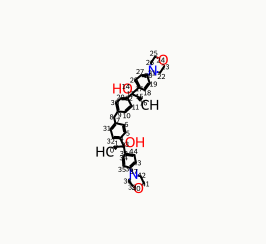 C#CC(O)(c1ccc(Cc2ccc(C(O)(C#C)c3ccc(N4CCOCC4)cc3)cc2)cc1)c1ccc(N2CCOCC2)cc1